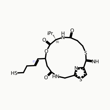 CC(C)[C@@H]1NC(=O)CCSC(=N)c2csc(n2)CNC(=O)CC(/C=C/CCS)OC1=O